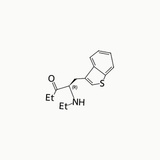 CCN[C@H](Cc1csc2ccccc12)C(=O)CC